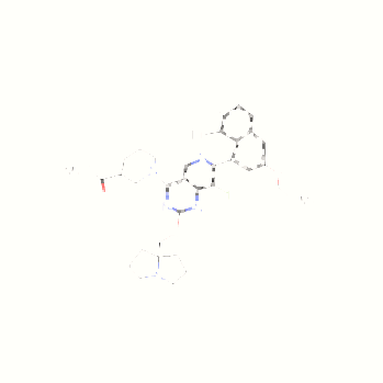 CCc1c(F)ccc2cc(OCOC)cc(-c3ncc4c(N5CCCC(C(=O)OC)C5)nc(OC[C@@]56CCCN5C[C@H](F)C6)nc4c3F)c12